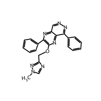 Cn1cnc(COc2nc3c(-c4ccccc4)nncc3nc2-c2ccccc2)n1